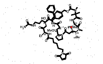 CC[C@H](NC(=O)CCCCCN1C(=O)C=CC1=O)C(=O)C[C@@H](CCCNC(N)=O)C(=O)Nc1ccc(COC(=O)N(C)C(C)(C)C(=O)N[C@H](C(=O)N(C)[C@@H]([C@@H](C)CC)[C@@H](CC(=O)N2CCC[C@H]2[C@H](OC)[C@@H](C)C(=O)N[C@@H](Cc2ccccc2)C(=O)O)OC)C(C)C)cc1